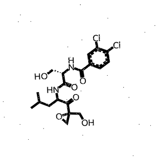 CC(C)CC(NC(=O)[C@H](CO)NC(=O)c1ccc(Cl)c(Cl)c1)C(=O)C1(CO)CO1